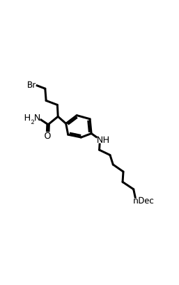 CCCCCCCCCCCCCCCCNc1ccc(C(CCCBr)C(N)=O)cc1